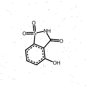 O=C1NS(=O)(=O)c2cccc(O)c21